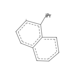 [CH2]C(C)c1[c]ccc2ccccc12